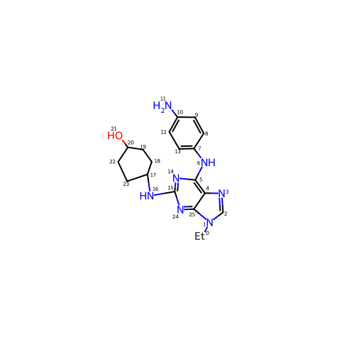 CCn1cnc2c(Nc3ccc(N)cc3)nc(NC3CCC(O)CC3)nc21